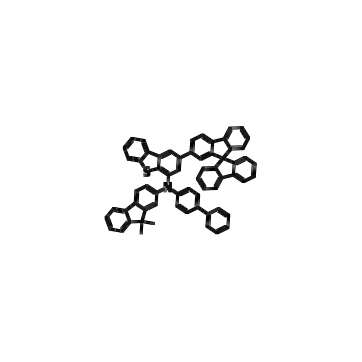 CC1(C)c2ccccc2-c2ccc(N(c3ccc(-c4ccccc4)cc3)c3cc(-c4ccc5c(c4)C4(c6ccccc6-c6ccccc64)c4ccccc4-5)cc4c3sc3ccccc34)cc21